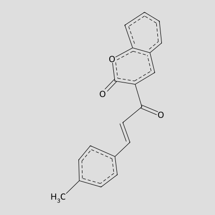 Cc1ccc(/C=C/C(=O)c2cc3ccccc3oc2=O)cc1